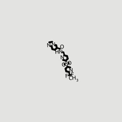 CC(F)(F)c1ccc(S(=O)(=O)c2ccc(CNC(=O)c3ccc4nccn4c3)nc2)cn1